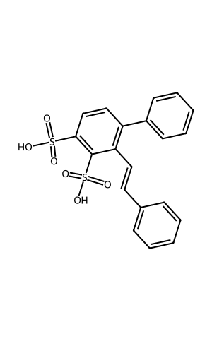 O=S(=O)(O)c1ccc(-c2ccccc2)c(C=Cc2ccccc2)c1S(=O)(=O)O